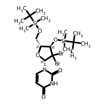 CC(C)(C)[Si](C)(C)OC[C@H]1O[C@@H](n2ccc(=O)[nH]c2=O)C(Br)(Br)[C@@H]1O[Si](C)(C)C(C)(C)C